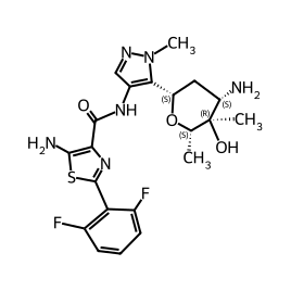 C[C@@H]1O[C@H](c2c(NC(=O)c3nc(-c4c(F)cccc4F)sc3N)cnn2C)C[C@H](N)[C@@]1(C)O